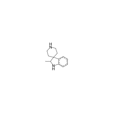 CC1Nc2ccccc2C12CCNCC2